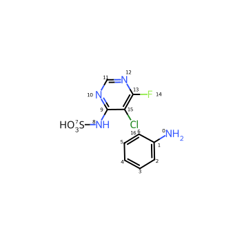 Nc1ccccc1.O=S(=O)(O)Nc1ncnc(F)c1Cl